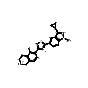 Cc1c(-c2noc(-c3ccc4c(c3)c(C3CC3)nn4C(C)C)n2)ccc2c1CCNC2